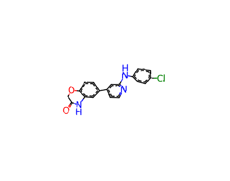 O=C1COc2ccc(-c3ccnc(Nc4ccc(Cl)cc4)c3)cc2N1